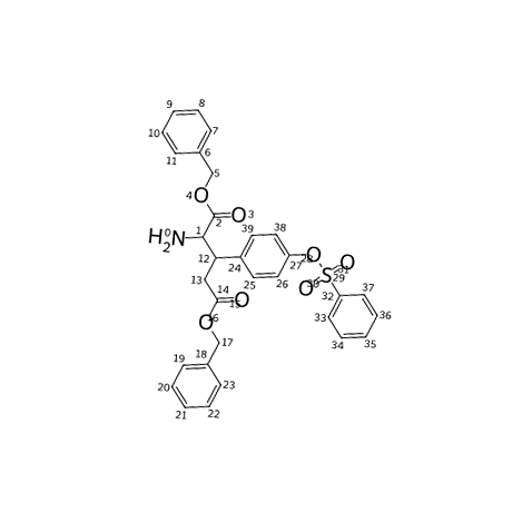 NC(C(=O)OCc1ccccc1)C(CC(=O)OCc1ccccc1)c1ccc(OS(=O)(=O)c2ccccc2)cc1